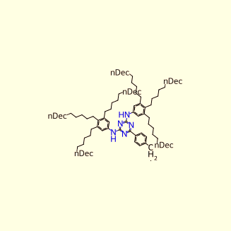 [CH2]c1ccc(-c2nc(Nc3cc(CCCCCCCCCCCCCCC)c(CCCCCCCCCCCCCCC)c(CCCCCCCCCCCCCCC)c3)nc(Nc3cc(CCCCCCCCCCCCCCC)c(CCCCCCCCCCCCCCC)c(CCCCCCCCCCCCCCC)c3)n2)cc1